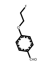 O=Cc1ccc(OCCF)cc1